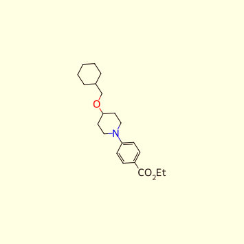 CCOC(=O)c1ccc(N2CCC(OCC3CCCCC3)CC2)cc1